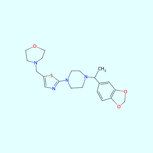 CC(c1ccc2c(c1)OCO2)N1CCN(c2ncc(CN3CCOCC3)s2)CC1